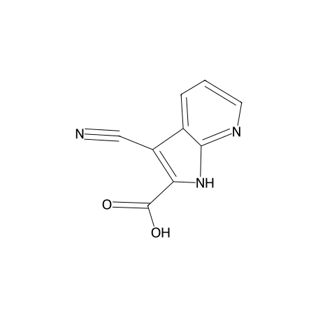 N#Cc1c(C(=O)O)[nH]c2ncccc12